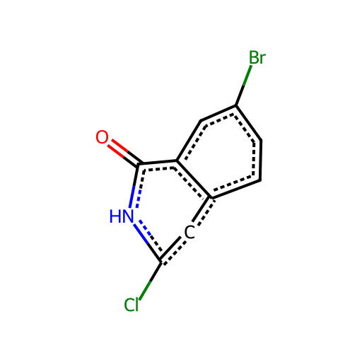 O=c1[nH]c(Cl)cc2ccc(Br)cc12